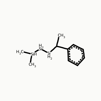 CC([SiH2][SiH2][SiH](C)C)c1ccccc1